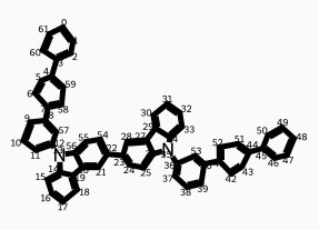 c1ccc(-c2ccc(-c3cccc(-n4c5ccccc5c5cc(-c6ccc7c(c6)c6ccccc6n7-c6cccc(-c7ccc(-c8ccccc8)cc7)c6)ccc54)c3)cc2)cc1